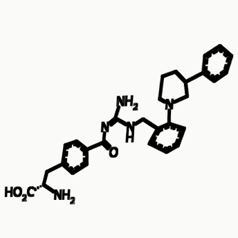 NC(=NC(=O)c1ccc(C[C@H](N)C(=O)O)cc1)NCc1ccccc1N1CCCC(c2ccccc2)C1